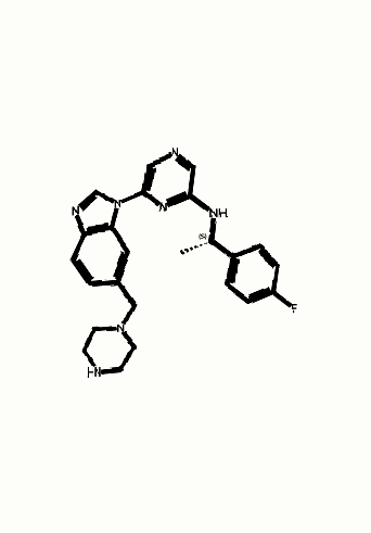 C[C@H](Nc1cncc(-n2cnc3ccc(CN4CCNCC4)cc32)n1)c1ccc(F)cc1